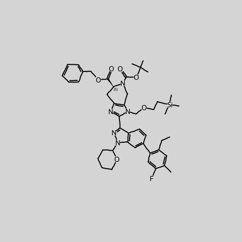 CCc1cc(C)c(F)cc1-c1ccc2c(-c3nc4c(n3COCC[Si](C)(C)C)CN(C(=O)OC(C)(C)C)[C@H](C(=O)OCc3ccccc3)C4)nn(C3CCCCO3)c2c1